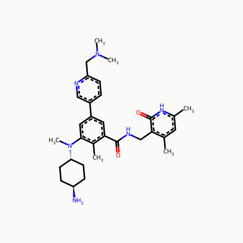 Cc1cc(C)c(CNC(=O)c2cc(-c3ccc(CN(C)C)nc3)cc(N(C)[C@H]3CC[C@H](N)CC3)c2C)c(=O)[nH]1